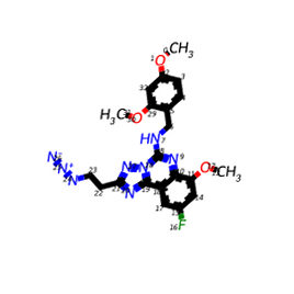 COc1ccc(CNc2nc3c(OC)cc(F)cc3c3nc(CCN=[N+]=[N-])nn23)c(OC)c1